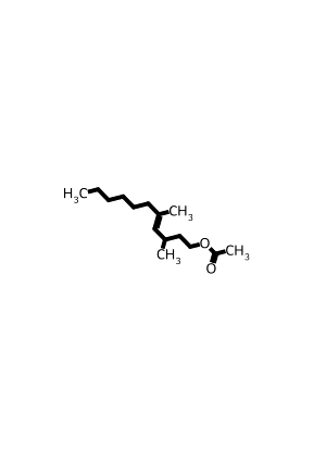 CCCCCCC(C)=CC(C)CCOC(C)=O